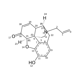 C=CCN1CC[C@]23c4c5ccc(O)c4O[C@H]2C(=O)C=CC3[C@H]1C5